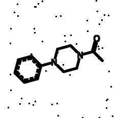 CC(=O)N1CCN(c2[c]cccc2)CC1